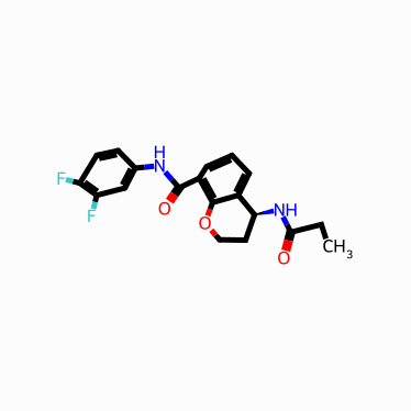 CCC(=O)N[C@H]1CCOc2c(C(=O)Nc3ccc(F)c(F)c3)cccc21